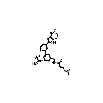 CN(C)CC=CC(=O)NCc1cccc(-c2cc(-c3cc4c([nH]3)CCNC4=O)ccn2)c1.O=C(O)C(F)(F)F